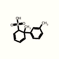 Cc1cccc(C2(C)C=CC=CC2S(=O)(=O)O)c1